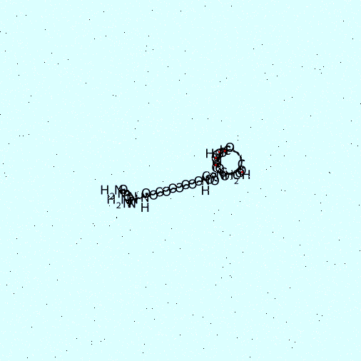 CO[C@H]1C[C@@H]2CC[C@@H](C)[C@@](O)(O2)C(=O)C(=O)N2CCCC[C@H]2C(=O)O[C@H]([C@H](N)C[C@@H]2CC[C@@H](OC(=O)NCCOCCOCCOCCOCCOCCOCCOCCOCCC(=O)NCCCCn3nc(-c4ccc5oc(N)nc5c4)c4c(N)ncnc43)[C@H](OC)C2)CC(=O)[C@H](C)/C=C(\C)[C@@H](O)[C@@H](OC)C(=O)[C@H](C)C[C@H](C)/C=C/C=C/C=C/1C